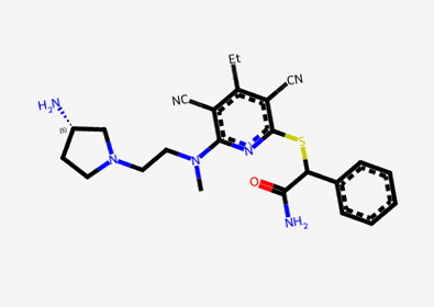 CCc1c(C#N)c(SC(C(N)=O)c2ccccc2)nc(N(C)CCN2CC[C@H](N)C2)c1C#N